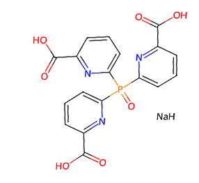 O=C(O)c1cccc(P(=O)(c2cccc(C(=O)O)n2)c2cccc(C(=O)O)n2)n1.[NaH]